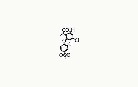 CC(C(=O)O)c1ccc(Cl)cc1Oc1ccc(S(C)(=O)=O)cc1Cl